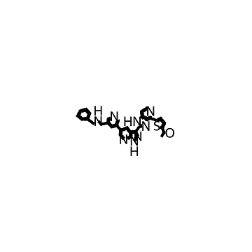 CC(=O)c1ccc(-c2nccc3[nH]c(-c4n[nH]c5ncc(-c6cncc(CNCc7ccccc7)c6)cc45)nc23)s1